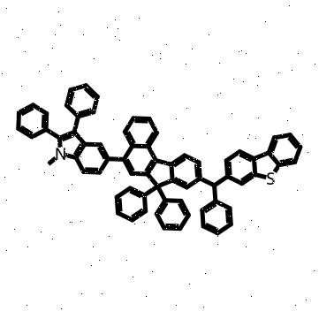 Cn1c(-c2ccccc2)c(-c2ccccc2)c2cc(-c3cc4c(c5ccccc35)-c3ccc(C(c5ccccc5)c5ccc6c(c5)sc5ccccc56)cc3C4(c3ccccc3)c3ccccc3)ccc21